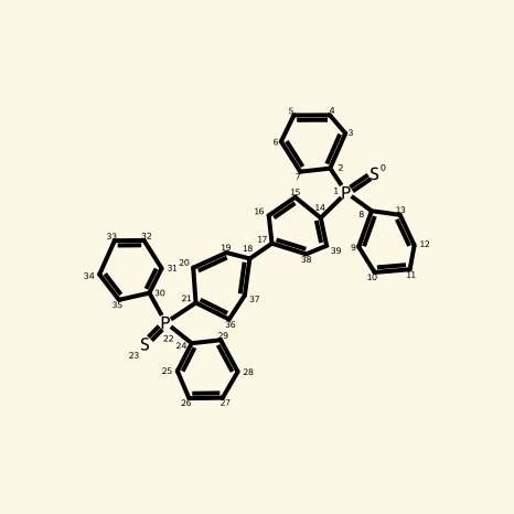 S=P(c1ccccc1)(c1ccccc1)c1ccc(-c2ccc(P(=S)(c3ccccc3)c3ccccc3)cc2)cc1